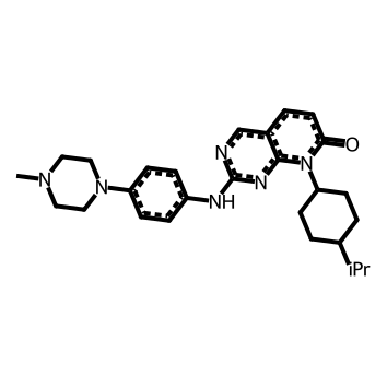 CC(C)C1CCC(n2c(=O)ccc3cnc(Nc4ccc(N5CCN(C)CC5)cc4)nc32)CC1